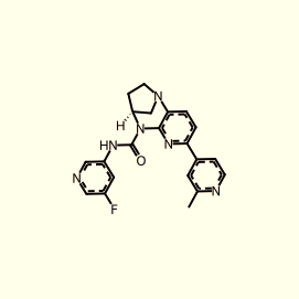 Cc1cc(-c2ccc3c(n2)N(C(=O)Nc2cncc(F)c2)[C@H]2CCN3C2)ccn1